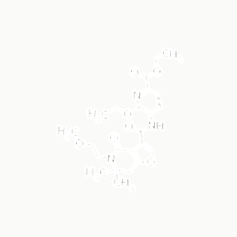 CCOC(=O)c1ccc(NC(=O)c2coc3c2C(=O)N(CCOC)C(C)(C)C3)c(OCC)n1